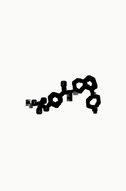 CN1CCN(c2cccc3c2C[C@H](NC(=O)c2ccc(OS(=O)(=O)C(F)(F)F)cc2)CC3)CC1